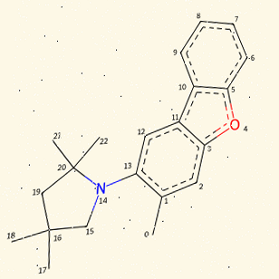 Cc1cc2oc3ccccc3c2cc1N1CC(C)(C)CC1(C)C